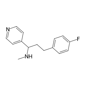 CNC(CCc1ccc(F)cc1)c1ccncc1